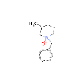 CC1CCC[N+]([O-])(Cc2ccccc2)C1